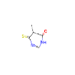 CC1C(=O)NC=NC1=S